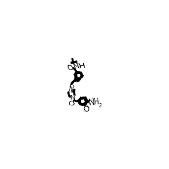 COc1cc(C(=O)N2CCN(Cc3cccc(C(=O)NC(C)(C)C)c3)CC2)ccc1N